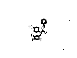 O=C(OCc1ccccc1)N(Cc1cc(F)c(F)cc1F)C1CCC(O)CC1